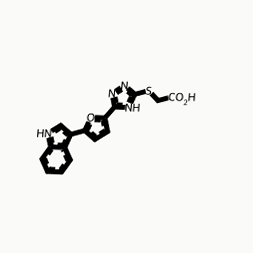 O=C(O)CSc1nnc(-c2ccc(-c3c[nH]c4ccccc34)o2)[nH]1